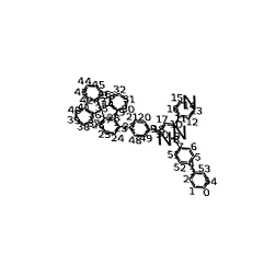 c1ccc(-c2ccc(-c3nc(-c4ccncc4)cc(-c4ccc(-c5cccc6c5-c5ccccc5C65c6ccccc6-c6ccccc65)cc4)n3)cc2)cc1